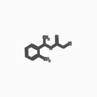 Cc1ccccc1C(C)OC(=O)CCl